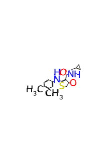 Cc1ccc(NC2=C(C(=O)NCC3CC3)C(=O)CS2)cc1C